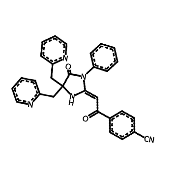 N#Cc1ccc(C(=O)/C=C2\NC(Cc3ccccn3)(Cc3ccccn3)C(=O)N2c2ccccc2)cc1